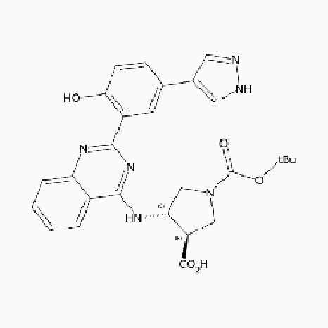 CC(C)(C)OC(=O)N1C[C@@H](Nc2nc(-c3cc(-c4cn[nH]c4)ccc3O)nc3ccccc23)[C@H](C(=O)O)C1